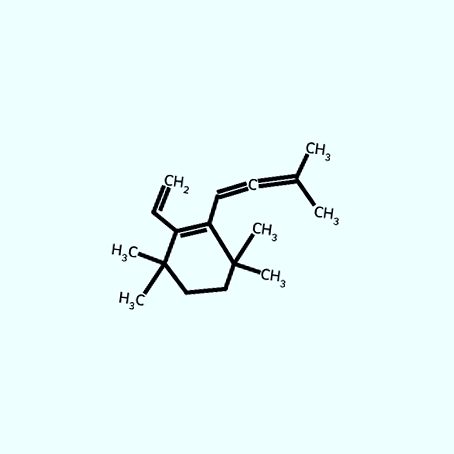 C=CC1=C(C=C=C(C)C)C(C)(C)CCC1(C)C